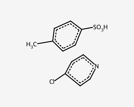 Cc1ccc(S(=O)(=O)O)cc1.Clc1ccncc1